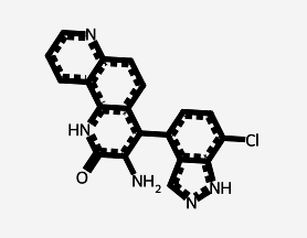 Nc1c(-c2ccc(Cl)c3[nH]ncc23)c2ccc3ncccc3c2[nH]c1=O